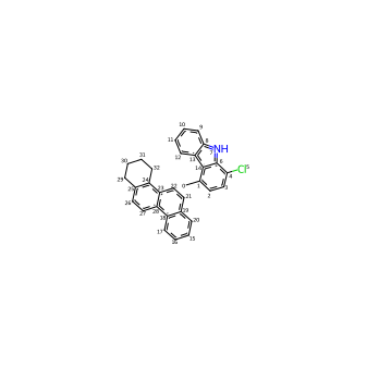 Cc1ccc(Cl)c2[nH]c3ccccc3c12.c1ccc2c(c1)ccc1c3c(ccc12)CCCC3